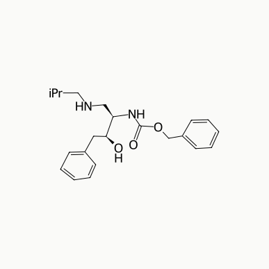 CC(C)CNC[C@@H](NC(=O)OCc1ccccc1)[C@@H](O)Cc1ccccc1